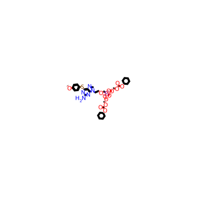 COc1ccc(Sc2nc(N)nc3c2ncn3CCOCP(=O)(OOCOC(=O)OC2CCCCC2)OOCOC(=O)OC2CCCCC2)cc1